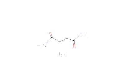 NC(=O)CCC(N)=O.[Na]